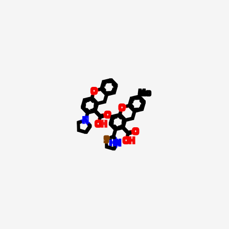 O=C(O)c1c(C2NCCS2)ccc2c1Cc1ccccc1O2.O=C(O)c1c(N2CCCC2)ccc2c1Cc1ccccc1O2.[Mo]